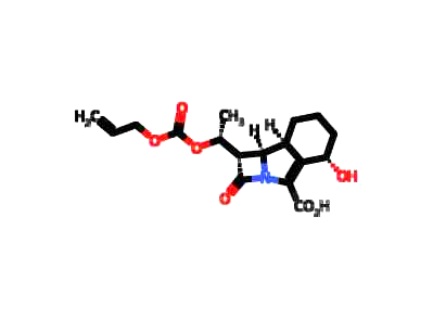 C=CCOC(=O)O[C@H](C)[C@H]1C(=O)N2C(C(=O)O)=C3[C@@H](O)CCC[C@@H]3[C@H]12